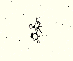 CC1(C)CNC(=O)N1c1ccnc(Cl)n1